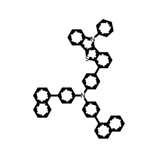 c1ccc(-n2c3ccccc3c3sc4c(-c5ccc(N(c6ccc(-c7cccc8ccccc78)cc6)c6ccc(-c7cccc8ccccc78)cc6)cc5)cccc4c32)cc1